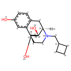 Oc1ccc2c(c1)[C@]13CCN(CC4CCC4)[C@H](C2)[C@]1(O)CCC(O)C3